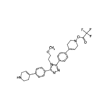 COCCn1c(-c2ccc(C3=CCNCC3)cc2)nnc1-c1ccc(C2=CCN(OC(=O)C(F)(F)F)CC2)cc1